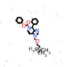 C[Si](C)(C)CCOCn1cnc2c1C=CN(C(=O)Oc1ccccc1)C2c1ccccc1